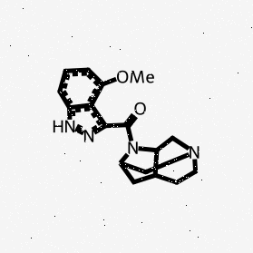 COc1cccc2[nH]nc(C(=O)N3C4CC5CCN(C4)CC53)c12